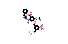 CCc1cc(COc2cc3c(cc2C)C(=O)N2c4ccccc4C[C@H]2CN3)cc([N+](=O)[O-])c1